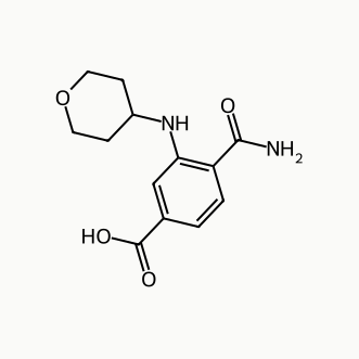 NC(=O)c1ccc(C(=O)O)cc1NC1CCOCC1